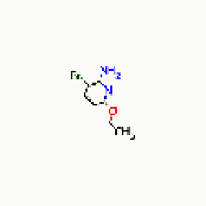 CCOc1ccc(Br)c(N)n1